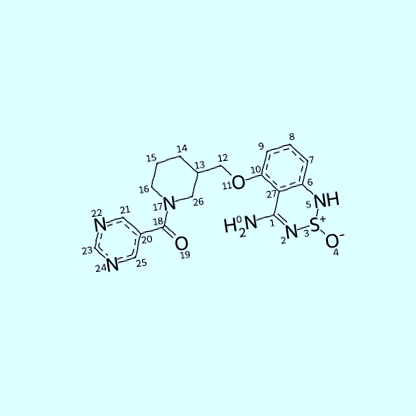 NC1=N[S+]([O-])Nc2cccc(OCC3CCCN(C(=O)c4cncnc4)C3)c21